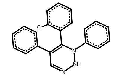 Clc1ccccc1C1=C(c2ccccc2)C=NNN1c1ccccc1